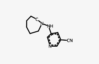 N#Cc1cncc(NN2CCCCCC2)c1